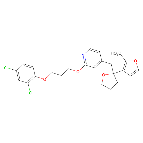 O=C(O)c1occc1C1(Cc2ccnc(OCCCOc3ccc(Cl)cc3Cl)c2)CCCO1